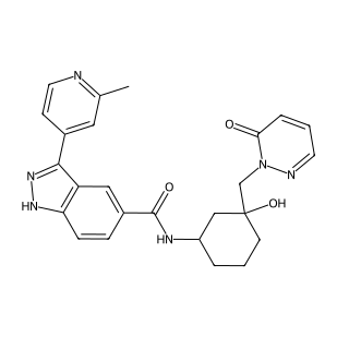 Cc1cc(-c2n[nH]c3ccc(C(=O)NC4CCCC(O)(Cn5ncccc5=O)C4)cc23)ccn1